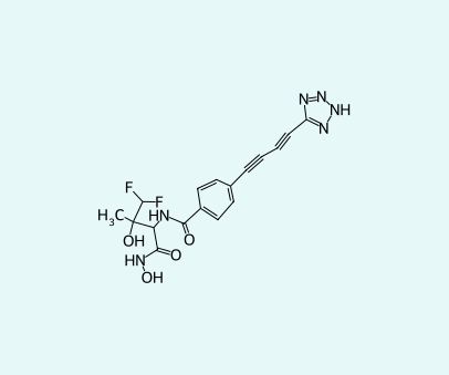 CC(O)(C(F)F)C(NC(=O)c1ccc(C#CC#Cc2nn[nH]n2)cc1)C(=O)NO